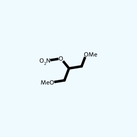 COCC(COC)O[N+](=O)[O-]